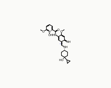 COC1=CC(=N)/C(=C\N[C@H]2CC[C@@](O)(C3CC3)CC2)C=C1NC(=O)c1cccc(OC)[n+]1O